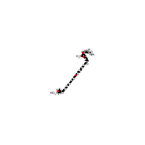 CCCN(OCCNC(=O)OC(C)C)C(=O)C1=Cc2sc(CC3CN(C(=O)CCOCCOCCOCCOCCOCCOCCOCCOCCOCCOCCC(=O)Oc4c(F)c(F)c(S(=O)(=O)O)c(F)c4F)C3)cc2C=C(N)C1